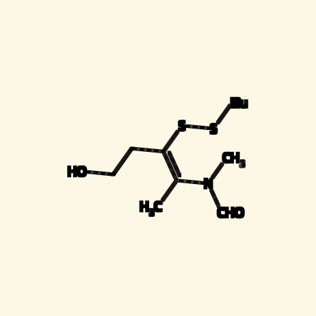 CCC(C)SSC(CCO)=C(C)N(C)C=O